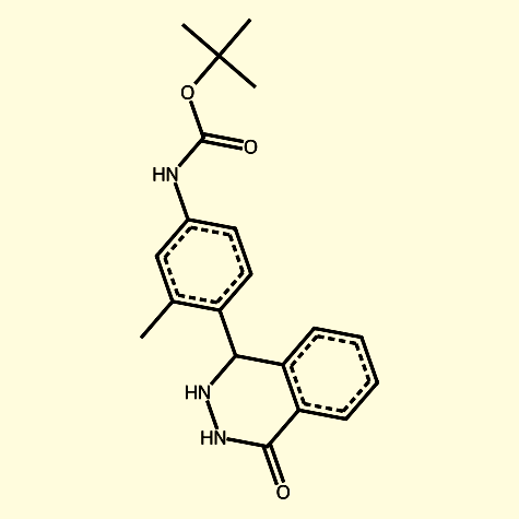 Cc1cc(NC(=O)OC(C)(C)C)ccc1C1NNC(=O)c2ccccc21